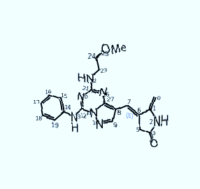 C=C1NC(=O)C/C1=C\c1cnn2c(Nc3ccccc3)nc(NCCOC)nc12